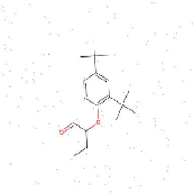 CCC(C=O)Oc1ccc(C(C)(C)C)cc1C(C)(C)C